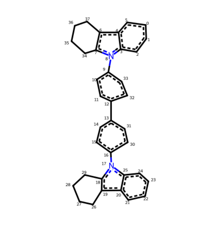 c1ccc2c(c1)c1c(n2-c2ccc(-c3ccc(-n4c5c(c6ccccc64)CCCC5)cc3)cc2)CCCC1